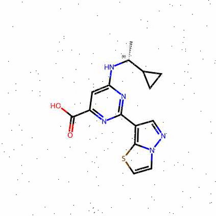 C[C@@H](Nc1cc(C(=O)O)nc(-c2cnn3ccsc23)n1)C1CC1